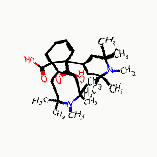 CN1C(C)(C)CC(C2(C(=O)O)C=CCCC2(C(=O)O)C2CC(C)(C)N(C)C(C)(C)C2)CC1(C)C